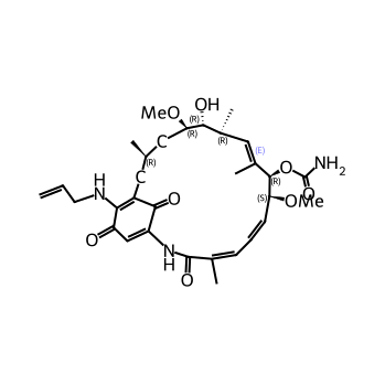 C=CCNC1=C2C[C@@H](C)C[C@@H](OC)[C@H](O)[C@H](C)/C=C(\C)[C@@H](OC(N)=O)[C@@H](OC)C=CC=C(C)C(=O)NC(=CC1=O)C2=O